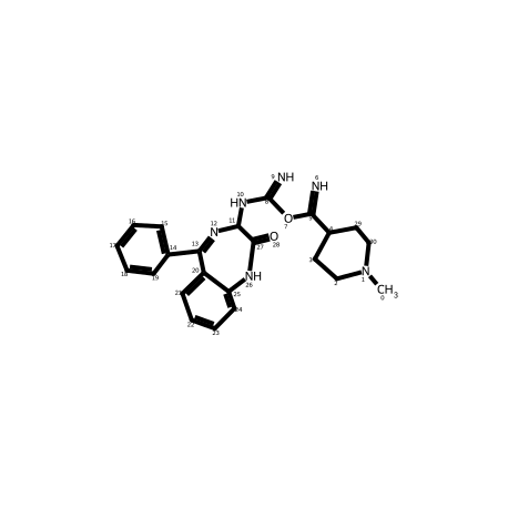 CN1CCC(C(=N)OC(=N)NC2N=C(c3ccccc3)c3ccccc3NC2=O)CC1